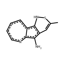 CC1=Cc2c(N)c3nccccc-3c2NS1